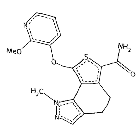 COc1ncccc1Oc1sc(C(N)=O)c2c1-c1c(cnn1C)CC2